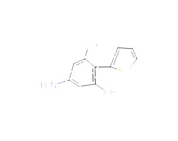 Cc1cc(N)cc(C)c1-c1cccs1